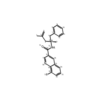 C=C(C)C[C@](C)(Cc1ccccc1)NC(=O)c1cnc2c(F)cccc2c1